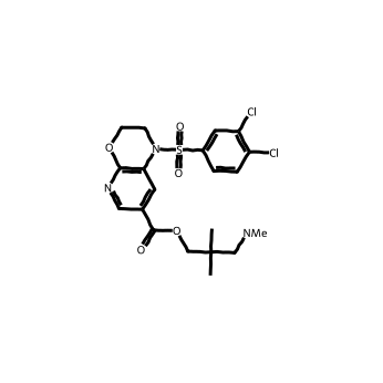 CNCC(C)(C)COC(=O)c1cnc2c(c1)N(S(=O)(=O)c1ccc(Cl)c(Cl)c1)CCO2